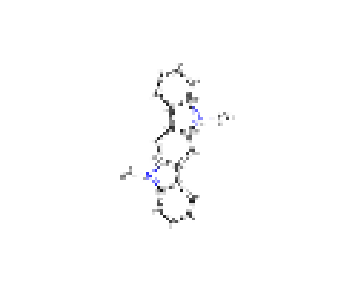 CC(C)n1c2ccccc2c2cc3c(cc21)c1ccccc1n3C(C)(C)C